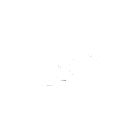 OCc1cnc(Nc2ccccn2)nc1